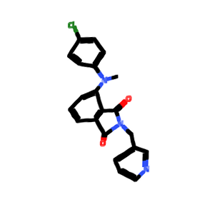 CN(c1ccc(Cl)cc1)c1cccc2c1C(=O)N(Cc1cccnc1)C2=O